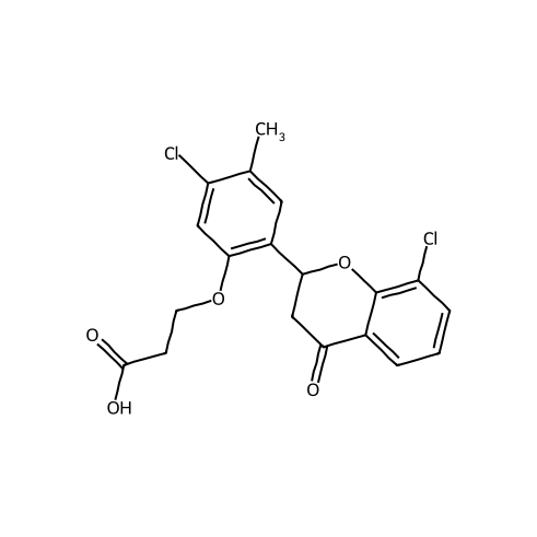 Cc1cc(C2CC(=O)c3cccc(Cl)c3O2)c(OCCC(=O)O)cc1Cl